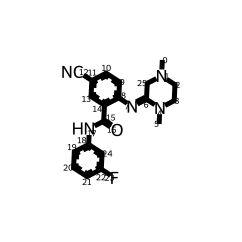 CN1CCN(C)C(=Nc2ccc(C#N)cc2C(=O)Nc2cccc(F)c2)C1